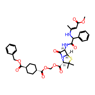 COC(=O)C=C(C)NC(C(=O)N[C@@H]1C(=O)N2[C@@H]1SC(C)(C)[C@@H]2C(=O)OCOC(=O)[C@H]1CC[C@H](C(=O)OCc2ccccc2)CC1)c1ccccc1